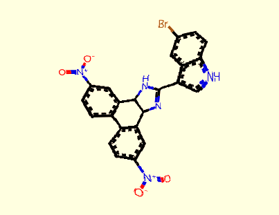 O=[N+]([O-])c1ccc2c(c1)C1N=C(c3c[nH]c4ccc(Br)cc34)NC1c1cc([N+](=O)[O-])ccc1-2